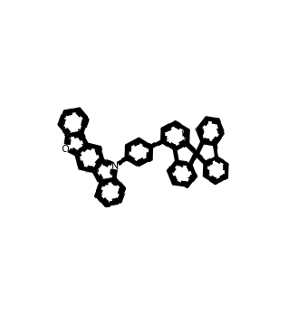 c1ccc2c(c1)-c1ccccc1C21c2ccccc2-c2c(-c3ccc(-n4c5ccccc5c5cc6oc7ccccc7c6cc54)cc3)cccc21